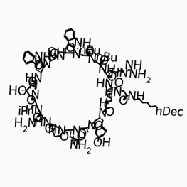 CCCCCCCCCCCCCCCCNC(=O)CNC(=O)[C@@H]1CSCC(=O)N[C@@H](Cc2ccc(O)cc2)C(=O)N(C)[C@@H](C)C(=O)N[C@@H](CC(N)=O)C(=O)N2CCC[C@H]2C(=O)N[C@@H](CCN)C(=O)N[C@@H](CC(C)C)C(=O)N2C[C@H](O)C[C@H]2C(=O)N[C@@H](Cc2c[nH]c3ccccc23)C(=O)N[C@@H](CO)C(=O)N[C@@H](Cc2c[nH]c3ccccc23)C(=O)N(C)[C@@H](CCCC)C(=O)N(C)[C@@H](CCCC)C(=O)N[C@@H](CCCNC(=N)N)C(=O)N1